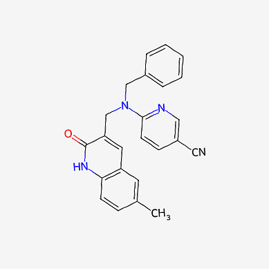 Cc1ccc2[nH]c(=O)c(CN(Cc3ccccc3)c3ccc(C#N)cn3)cc2c1